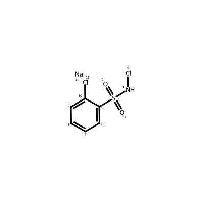 O=S(=O)(NCl)c1ccccc1Cl.[Na]